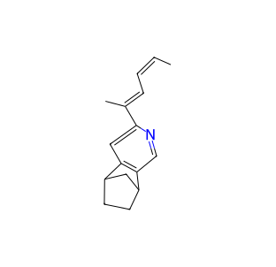 C/C=C\C=C(/C)c1cc2c(cn1)C1CCC2C1